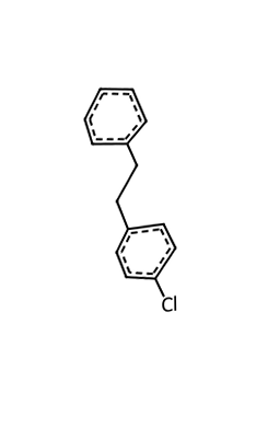 Clc1ccc(CCc2ccccc2)cc1